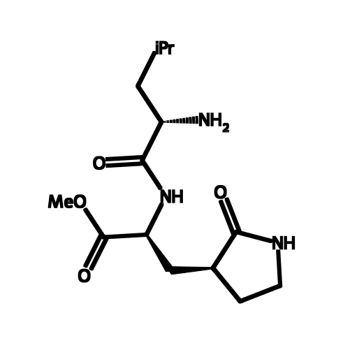 COC(=O)[C@H](C[C@@H]1CCNC1=O)NC(=O)[C@@H](N)CC(C)C